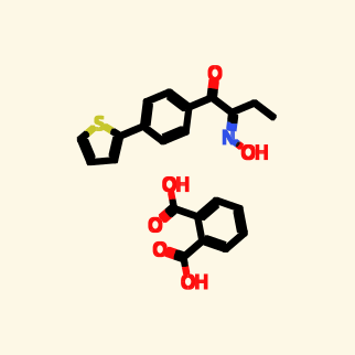 CCC(=NO)C(=O)c1ccc(-c2cccs2)cc1.O=C(O)c1ccccc1C(=O)O